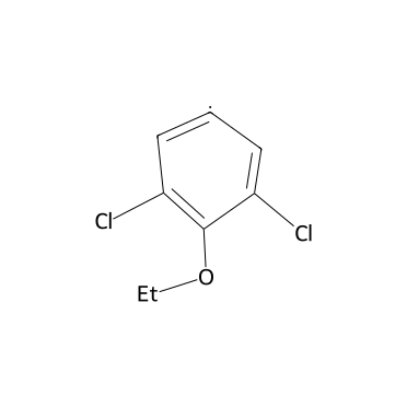 CCOc1c(Cl)c[c]cc1Cl